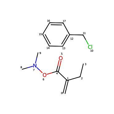 C=C(CC)C(=O)ON(C)C.ClCc1ccccc1